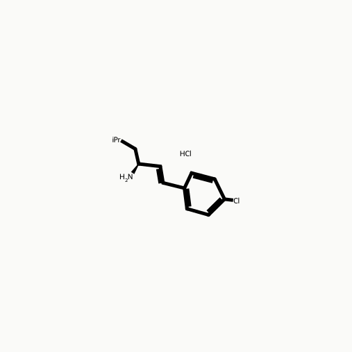 CC(C)C[C@H](N)/C=C/c1ccc(Cl)cc1.Cl